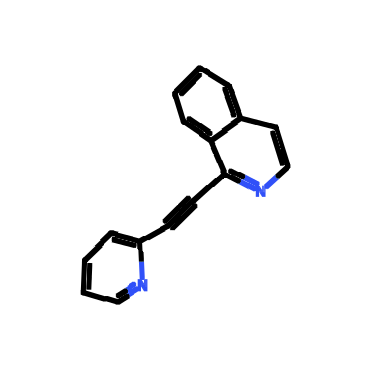 C(#Cc1nccc2ccccc12)c1ccccn1